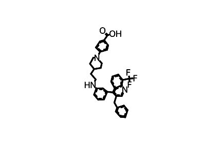 O=C(O)c1ccc(N2CCC(CCNc3cccc(-c4c(Cc5ccccc5)cnc5c(C(F)(F)F)cccc45)c3)CC2)cc1